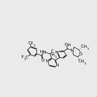 CC(NC(=O)c1cc(C(F)(F)F)cc(C(F)(F)F)c1)c1nccnc1-c1ccc(C(O)N2C[C@@H](C)O[C@@H](C)C2)cn1